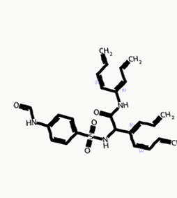 C=C/C=C\C(=C/C=C)NC(=O)C(NS(=O)(=O)c1ccc(NC=O)cc1)C(/C=C\C=C)=C/C=C